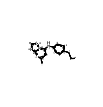 CCCc1ccc(Nc2cc(C)nc3ncnn23)cc1